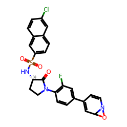 O=C1[C@@H](NS(=O)(=O)c2ccc3cc(Cl)ccc3c2)CCN1c1ccc(C2=CC3ON3C=C2)cc1F